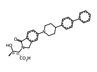 C[C@@H](O)[C@@H](C(=O)O)N1Cc2cc(N3CCC(c4ccc(-c5ccccc5)cc4)CC3)ccc2C1=O